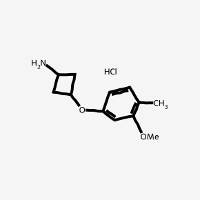 COc1cc(OC2CC(N)C2)ccc1C.Cl